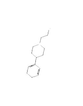 OCCN1CCC(C2=C[CH]CC=C2)CC1